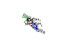 CON1CCC(C#N)(N(C)C(=O)Cc2c(C)cc(Br)cc2Cl)CC1